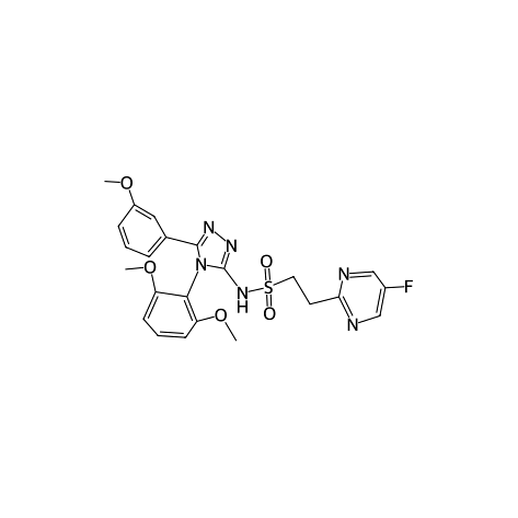 COc1cccc(-c2nnc(NS(=O)(=O)CCc3ncc(F)cn3)n2-c2c(OC)cccc2OC)c1